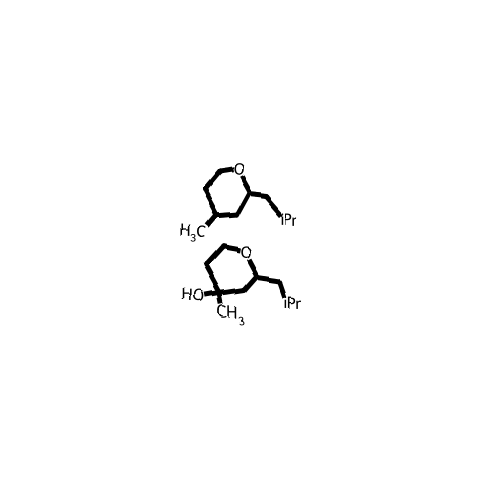 CC(C)CC1CC(C)(O)CCO1.CC(C)CC1CC(C)CCO1